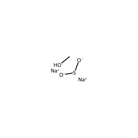 CO.[Na+].[Na+].[O-]S[O-]